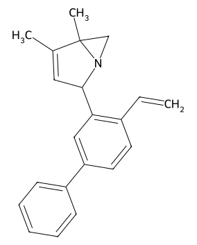 C=Cc1ccc(-c2ccccc2)cc1C1C=C(C)C2(C)CN12